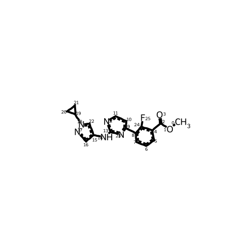 COC(=O)c1cccc(-c2ccnc(Nc3cnn(C4CC4)c3)n2)c1F